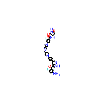 Nc1ccc(F)c(C(=O)c2c[nH]c3ncc(-c4ccc(N5CCC(CN6CC7(C6)CN(c6ccc(C(=O)N[C@H]8CCC(=O)NC8=O)c(F)c6)C7)CC5)cc4)cc23)c1F